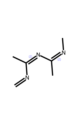 C=N/C(C)=N\C(C)=N/C